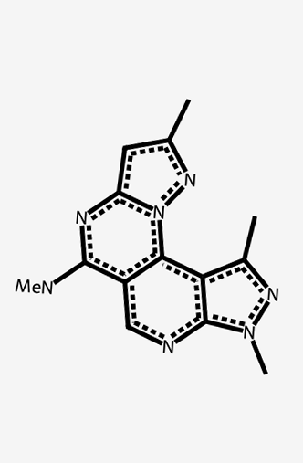 CNc1nc2cc(C)nn2c2c1cnc1c2c(C)nn1C